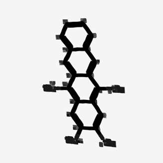 CC(C)(C)c1cc2c(C(C)(C)C)c3cc4ccccc4cc3c(C(C)(C)C)c2cc1C(C)(C)C